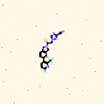 N#Cc1ncn(CC(=O)N2Cc3ccc(-c4ccc(F)nc4C(F)(F)F)cc3C2)n1